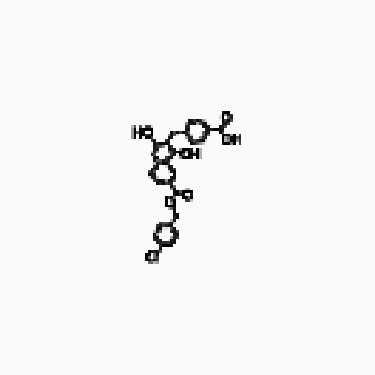 O=C(O)c1ccc(Cc2c(O)cc3ccc(C(=O)OCc4ccc(Cl)cc4)cc3c2O)cc1